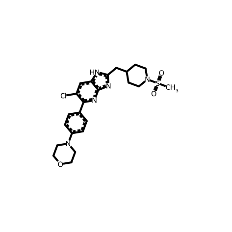 CS(=O)(=O)N1CCC(Cc2nc3nc(-c4ccc(N5CCOCC5)cc4)c(Cl)cc3[nH]2)CC1